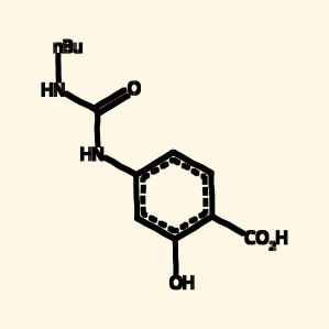 CCCCNC(=O)Nc1ccc(C(=O)O)c(O)c1